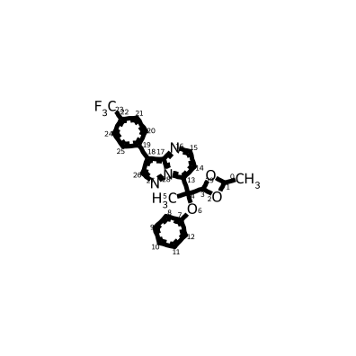 CC1OC(C(C)(Oc2ccccc2)c2ccnc3c(-c4ccc(C(F)(F)F)cc4)cnn23)O1